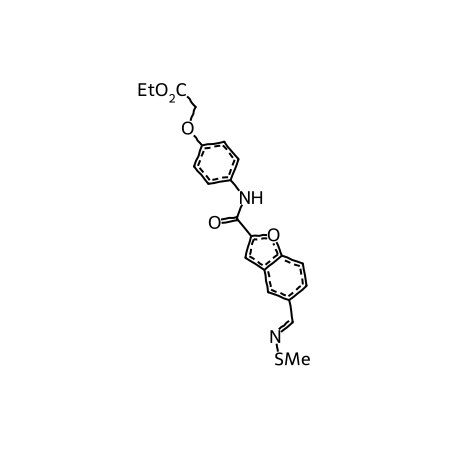 CCOC(=O)COc1ccc(NC(=O)c2cc3cc(C=NSC)ccc3o2)cc1